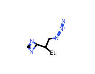 CCC(CN=[N+]=[N-])C1N=C=N1